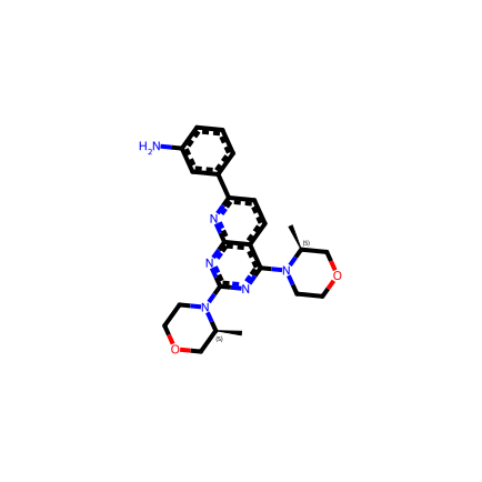 C[C@H]1COCCN1c1nc(N2CCOC[C@@H]2C)c2ccc(-c3cccc(N)c3)nc2n1